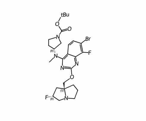 CN(c1nc(OC[C@@]23CCCN2C[C@H](F)C3)nc2c(F)c(Br)ccc12)[C@@H]1CCN(C(=O)OC(C)(C)C)C1